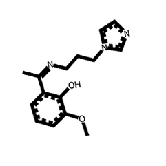 COc1cccc(/C(C)=N\CCCn2ccnc2)c1O